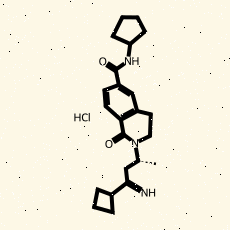 C[C@H](CC(=N)C1CCC1)N1CCc2cc(C(=O)NC3CCCC3)ccc2C1=O.Cl